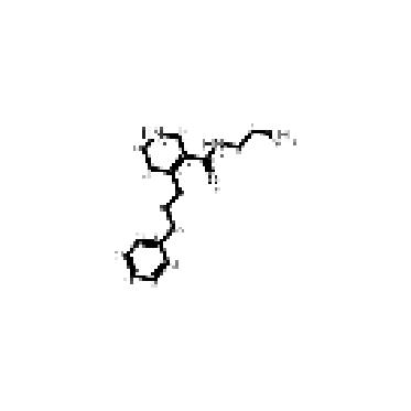 CCCNC(=O)C1=C(CCCc2ccccc2)CCNC1